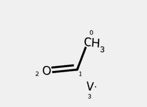 CC=O.[V]